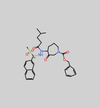 CC(C)CCC(=O)N(N[C@H](c1ccc2ccccc2c1)S(C)(=O)=O)C1CCCN(C(=O)OCc2ccccc2)CC1=O